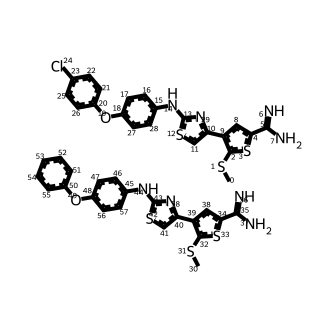 CSc1sc(C(=N)N)cc1-c1csc(Nc2ccc(Oc3ccc(Cl)cc3)cc2)n1.CSc1sc(C(=N)N)cc1-c1csc(Nc2ccc(Oc3ccccc3)cc2)n1